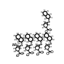 O=C([O-])C1CC2CC(Sc3ccc4ccccc4c3)C1C2.O=C([O-])C1CC2CC(Sc3ccc4ccccc4c3)C1C2.O=C([O-])C1CC2CC(Sc3ccc4ccccc4c3)C1C2.O=C([O-])C1CC2CC(Sc3ccc4ccccc4c3)C1C2.O=C([O-])C1CC2CC(Sc3ccc4ccccc4c3)C1C2.[Nb+5]